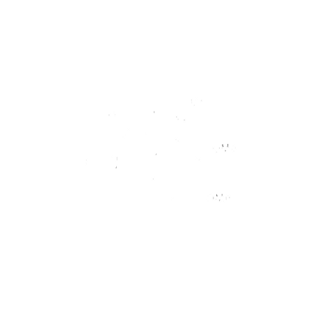 COc1ccc2c(c1OC)C(=O)OC2C(=O)OCl